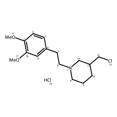 COc1ccc(CCN2CCCC(CCl)C2)cc1OC.Cl